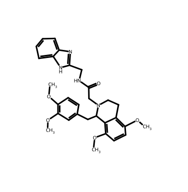 COc1ccc(CC2c3c(OC)ccc(OC)c3CCN2CC(=O)NCc2nc3ccccc3[nH]2)cc1OC